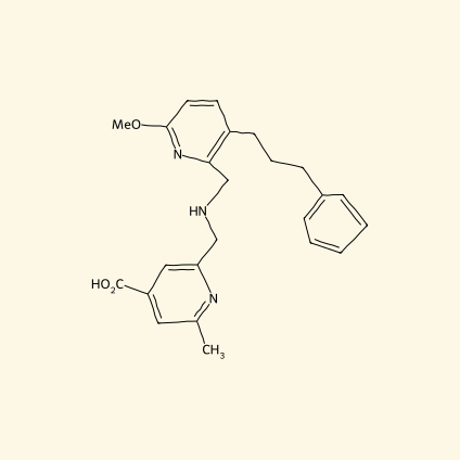 COc1ccc(CCCc2ccccc2)c(CNCc2cc(C(=O)O)cc(C)n2)n1